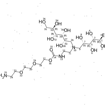 CC[C@@H](O)[C@@H](O)[C@H](O)[C@@H](O)CN(CCNC(=O)OCCOCCOCCN)C[C@H](O)[C@@H](O)[C@H](O)[C@H](O)CO